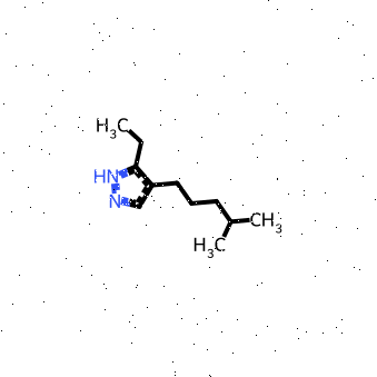 CCc1[nH]ncc1CCCC(C)C